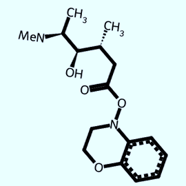 CN[C@@H](C)[C@H](O)[C@H](C)CC(=O)ON1CCOc2ccccc21